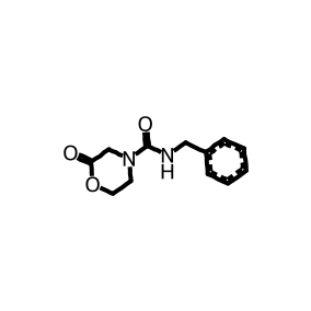 O=C1CN(C(=O)NCc2ccccc2)CCO1